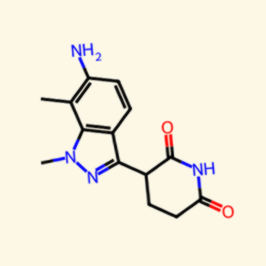 Cc1c(N)ccc2c(C3CCC(=O)NC3=O)nn(C)c12